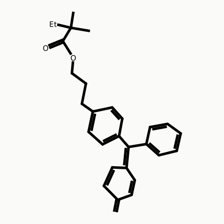 C=c1ccc(=C(c2ccccc2)c2ccc(CCCOC(=O)C(C)(C)CC)cc2)cc1